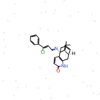 C/C=C1\[C@H]2C=C(C)C[C@]1(N=CC=C(Cl)c1ccccc1)c1ccc(=O)[nH]c1C2